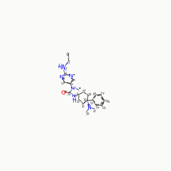 CCNc1ncc(N2C[C@]3(CC[C@](c4ccccc4)(N(C)C)CC3)NC2=O)cn1